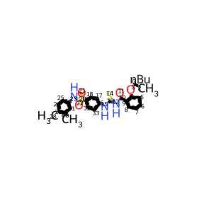 CCCCC(C)Oc1ccccc1C(=O)NC(=S)Nc1ccc(S(=O)(=O)Nc2ccc(C)c(C)c2)cc1